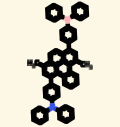 Cc1cc(-c2ccc(N(c3ccccc3)c3ccccc3)cc2)c2c3ccccc3c3c(C)cc(-c4ccc(B(c5ccccc5)c5ccccc5)cc4)c4ccc1c2c43